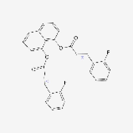 O=C(/C=C/c1ccccc1F)Oc1cccc2cccc(OC(=O)/C=C/c3ccccc3F)c12